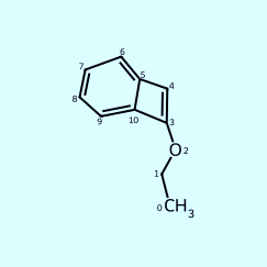 CCOC1=Cc2ccccc21